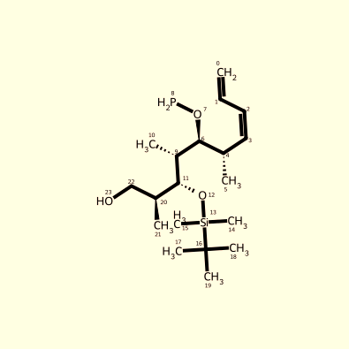 C=C/C=C\[C@H](C)[C@H](OP)[C@@H](C)[C@H](O[Si](C)(C)C(C)(C)C)[C@@H](C)CO